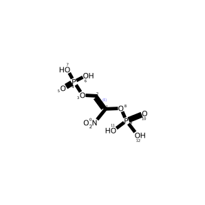 O=[N+]([O-])/C(=C\OP(=O)(O)O)OP(=O)(O)O